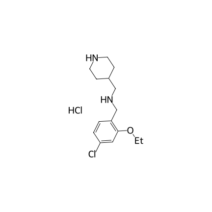 CCOc1cc(Cl)ccc1CNCC1CCNCC1.Cl